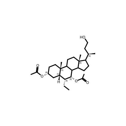 CC[C@H]1[C@@H](OC(C)=O)C2C3CCC([C@H](C)CCO)[C@@]3(C)CCC2[C@@]2(C)CC[C@@H](OC(C)=O)C[C@@H]12